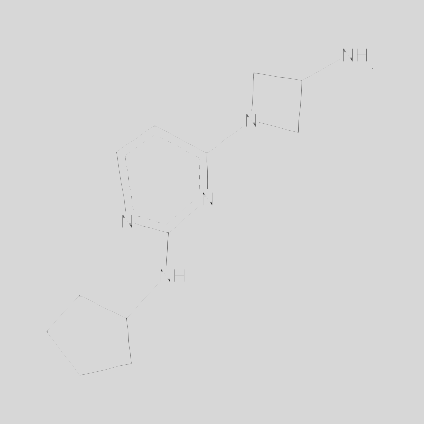 NC1CN(c2ccnc(NC3CCCC3)n2)C1